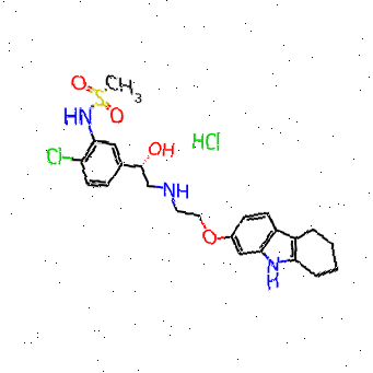 CS(=O)(=O)Nc1cc([C@H](O)CNCCOc2ccc3c4c([nH]c3c2)CCCC4)ccc1Cl.Cl